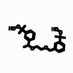 CC(OCCOCc1cccc(C(C)(C)OO)c1)c1cccc(C(C)(C)OO)c1